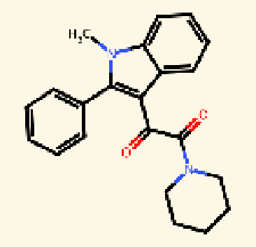 Cn1c(-c2ccccc2)c(C(=O)C(=O)N2CCCCC2)c2ccccc21